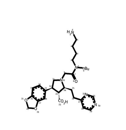 CCCCN(CCCCN)C(=O)CN1C[C@H](c2ccc3c(c2)OCO3)[C@@H](C(=O)O)[C@@H]1CCc1ccncn1